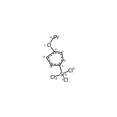 CC(C)Oc1ccc([Si](Cl)(Cl)Cl)cc1